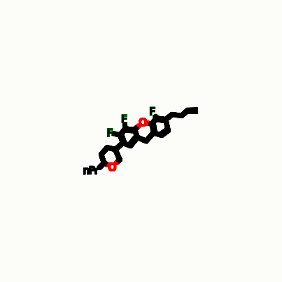 C=CCCc1ccc2c(c1F)Oc1c(cc(C3CCC(CCC)OC3)c(F)c1F)C2